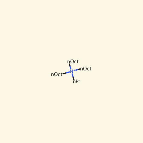 CCCCCCCC[N+](CCC)(CCCCCCCC)CCCCCCCC